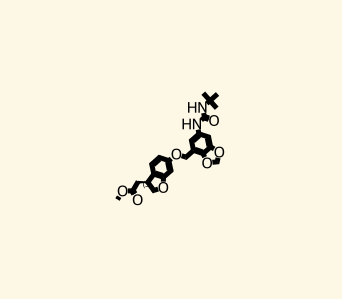 COC(=O)C[C@@H]1COc2cc(OCc3cc(NC(=O)NC(C)(C)C)cc4c3OCO4)ccc21